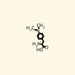 CCN(CC)c1ccc(C[C@H](N)C(=O)O)cc1